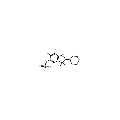 Cc1c(OS(C)(=O)=O)cc2c(c1C)OC(N1CCOCC1)C2(C)C